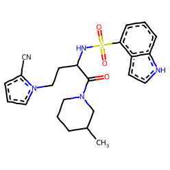 CC1CCCN(C(=O)C(CCn2cccc2C#N)NS(=O)(=O)c2cccc3[nH]ccc23)C1